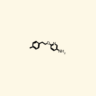 Cc1ccc(CCOc2ccc(N)cn2)cc1